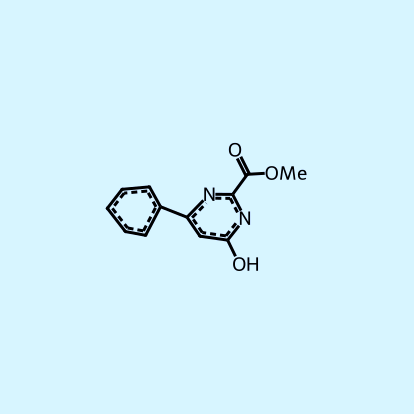 COC(=O)c1nc(O)cc(-c2ccccc2)n1